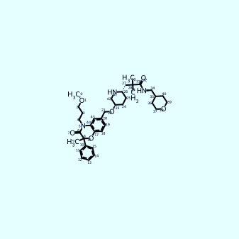 COCCCN1C(=O)C(C)(c2ccccc2)Oc2ccc(CO[C@@H]3CC[C@@H](CC(C)(C)C(=O)NCC4CCOCC4)NC3)cc21